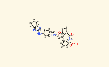 O=C(O)CN1C(=O)c2ccccc2C(CC(=O)NCc2ccc(Nc3nc4ccccc4[nH]3)cc2)c2ccccc21